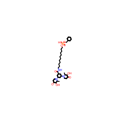 Cc1c(O)c(=O)ccn1-c1cc(C(=O)NCCCCCCCCCCCCOP(=O)(O)OCc2ccccc2)cc(-n2ccc(=O)c(O)c2C)c1